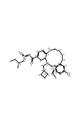 CC[C@H](C)C/[SH](=O)=N\C(=O)C1=CC=C2OCCCCc3cc(Cl)ccc3CN(C[C@@H]3CC[C@H]3C(C)=O)C2C1